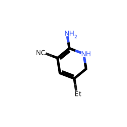 CCC1=CC(C#N)=C(N)NC1